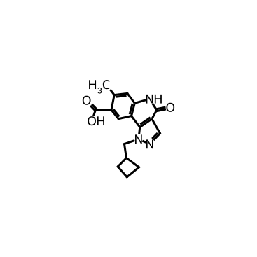 Cc1cc2[nH]c(=O)c3cnn(CC4CCC4)c3c2cc1C(=O)O